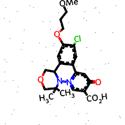 COCCCOc1cc2c(cc1Cl)-c1cc(=O)c(C(=O)O)cn1N1C2COCC1(C)C